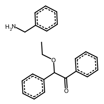 CCOC(C(=O)c1ccccc1)c1ccccc1.NCc1ccccc1